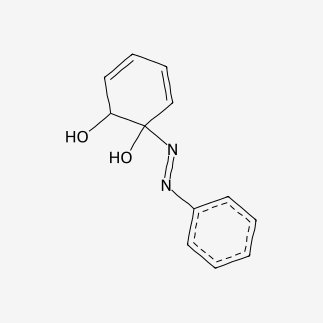 OC1C=CC=CC1(O)N=Nc1ccccc1